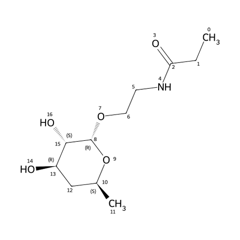 CCC(=O)NCCO[C@@H]1O[C@@H](C)C[C@@H](O)[C@@H]1O